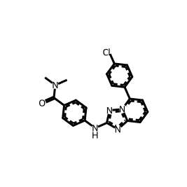 CN(C)C(=O)c1ccc(Nc2nc3cccc(-c4ccc(Cl)cc4)n3n2)cc1